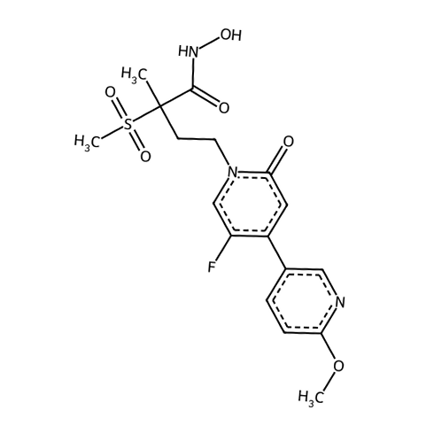 COc1ccc(-c2cc(=O)n(CCC(C)(C(=O)NO)S(C)(=O)=O)cc2F)cn1